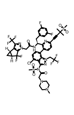 CN1CCN(CC(=O)N(c2nn(CC(F)(F)F)c3c(-c4ccc(C#CC(C)(C)S(C)(=O)=O)nc4[C@H](Cc4cc(F)cc(F)c4)NC(=O)Cn4nc(C(F)(F)F)c5c4C(F)(F)[C@@H]4C[C@H]54)ccc(Cl)c23)S(C)(=O)=O)CC1